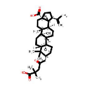 C=C(C)[C@@H]1CC[C@]2(C(=O)O)CC[C@]3(C)[C@H](CC[C@@H]4[C@@]5(C)CC[C@H](CC(=O)CC(C)(C)C(=O)O)C(C)(C)[C@@H]5CC[C@]43C)[C@@H]12